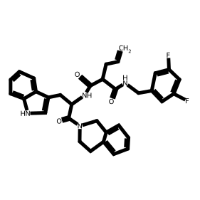 C=CCC(C(=O)NCc1cc(F)cc(F)c1)C(=O)NC(Cc1c[nH]c2ccccc12)C(=O)N1CCc2ccccc2C1